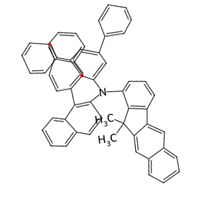 CC1(C)c2cc3ccccc3cc2-c2cccc(N(c3cc(-c4ccccc4)cc(-c4ccccc4)c3)c3ccc4ccccc4c3-c3ccc4ccccc4c3)c21